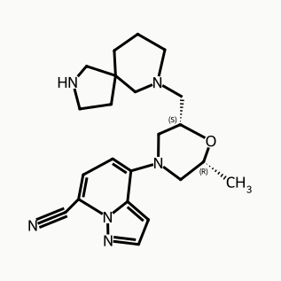 C[C@@H]1CN(c2ccc(C#N)n3nccc23)C[C@H](CN2CCCC3(CCNC3)C2)O1